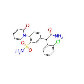 NC(=O)C(c1ccc(-n2ccccc2=O)c(S(N)(=O)=O)c1)c1ccccc1Cl